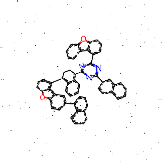 c1ccc2c(c1)=C(c1nc(-c3ccc4ccccc4c3)nc(-c3cccc4oc5ccccc5c34)n1)CCC=2c1cccc2oc3ccc(-c4cccc5ccccc45)cc3c12